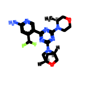 C[C@@H]1COCCN1c1nc(-c2cnc(N)cc2C(F)F)nc(N2C[C@@H]3C[C@H]2CO3)n1